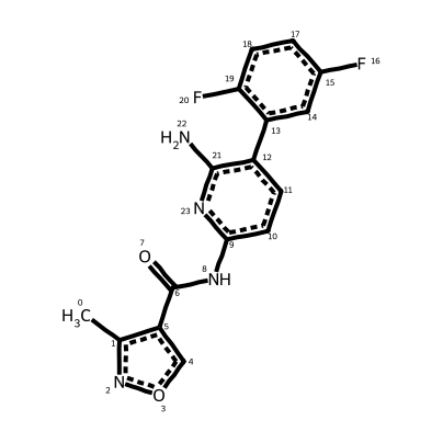 Cc1nocc1C(=O)Nc1ccc(-c2cc(F)ccc2F)c(N)n1